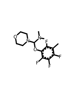 Cc1c(F)c(F)c(F)c(OC(N(C)C)N2CCOCC2)c1F